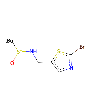 CC(C)(C)[S+]([O-])NCc1cnc(Br)s1